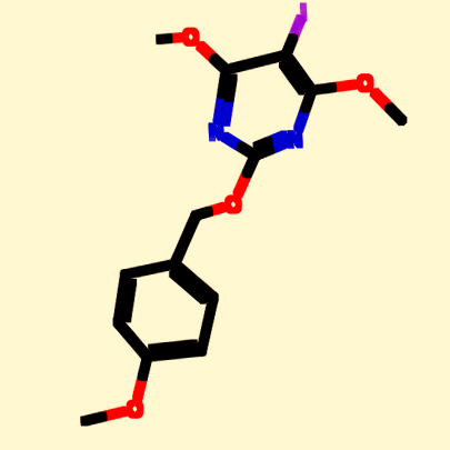 COc1ccc(COc2nc(OC)c(I)c(OC)n2)cc1